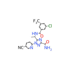 CC(NC(=O)c1cc(Cl)cc(C(F)(F)F)c1)c1nc(C(N)=O)nn1-c1ccc(C#N)cn1